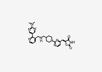 CN(C)c1ncc(-c2ncccc2CNCC2CCN(c3nccc(/C=C4\SC(=O)NC4=O)n3)CC2)cn1